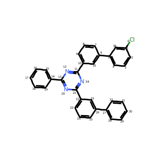 Clc1cccc(-c2cccc(-c3nc(-c4ccccc4)nc(-c4cccc(-c5ccccc5)c4)n3)c2)c1